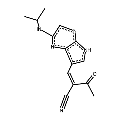 CC(=O)C(C#N)=Cc1c[nH]c2ncc(NC(C)C)nc12